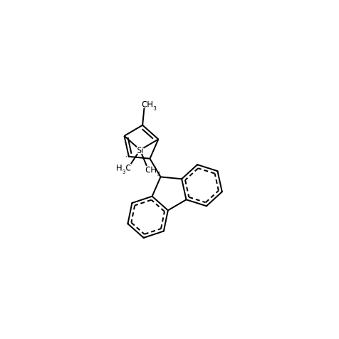 CC1=C2C(C3c4ccccc4-c4ccccc43)[C]=C1[Si]2(C)C